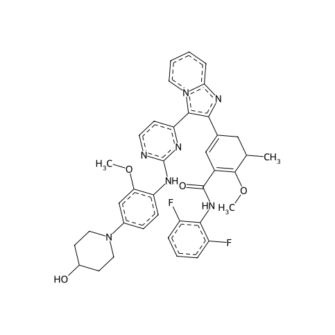 COC1=C(C(=O)Nc2c(F)cccc2F)C=C(c2nc3ccccn3c2-c2ccnc(Nc3ccc(N4CCC(O)CC4)cc3OC)n2)CC1C